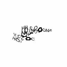 COc1ccc(OC(=O)N(C)CCCN2C(=O)NC(C)=C(C(=O)O)C2c2cccc(Cl)c2)cc1